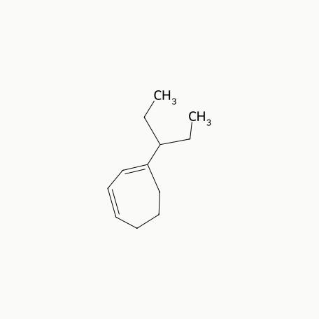 CCC(CC)C1=CC=CCCC1